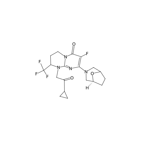 O=C(CN1c2nc(N3CC4CC[C@@H](C3)O4)c(F)c(=O)n2CCC1C(F)(F)F)C1CC1